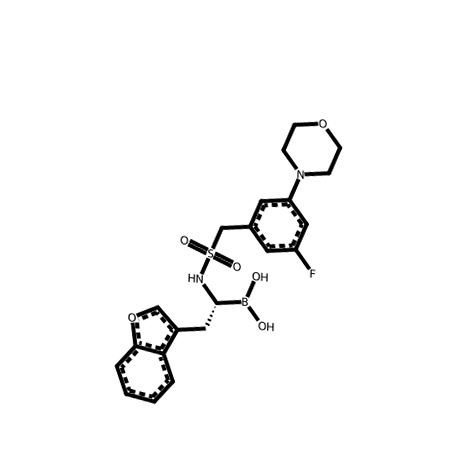 O=S(=O)(Cc1cc(F)cc(N2CCOCC2)c1)N[C@@H](Cc1coc2ccccc12)B(O)O